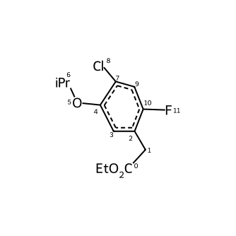 CCOC(=O)Cc1cc(OC(C)C)c(Cl)cc1F